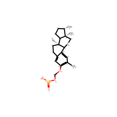 CC(=O)O[C@H]1CCC2[C@@H]3CCc4cc(OCO[PH](=O)O)c(C)cc4C3CC[C@@]21C